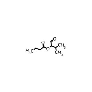 CCCC(=O)OC(C=O)C(C)C